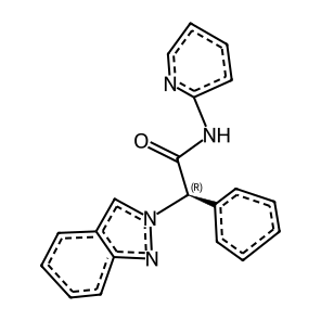 O=C(Nc1ccccn1)[C@@H](c1ccccc1)n1cc2ccccc2n1